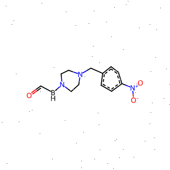 O=CBN1CCN(Cc2ccc([N+](=O)[O-])cc2)CC1